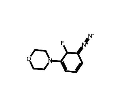 [N-]=[N+]=C1C=CC=C(N2CCOCC2)C1F